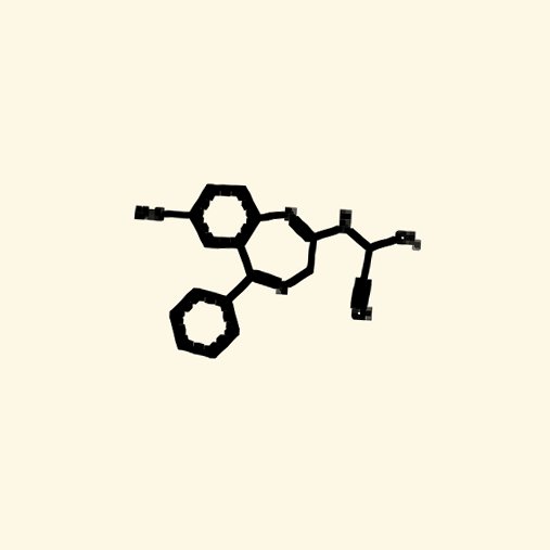 C#CC(C)NC1=Nc2ccc(SC)cc2C(c2ccccc2)=NC1